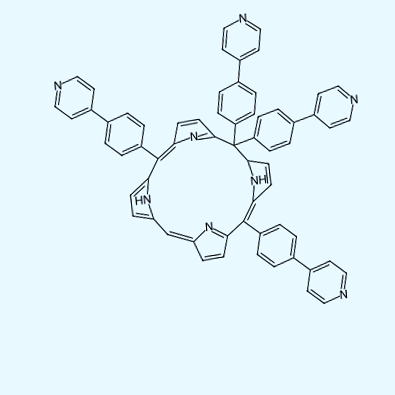 C1=CC2=NC1=Cc1ccc([nH]1)C(c1ccc(-c3ccncc3)cc1)=C1C=CC(=N1)C(c1ccc(-c3ccncc3)cc1)(c1ccc(-c3ccncc3)cc1)C1C=CC(=C2c2ccc(-c3ccncc3)cc2)N1